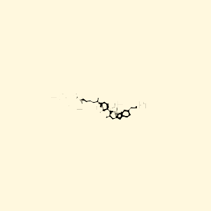 CC(=Cc1cc2ccc(CCC(C)C)cc2o1)C(=O)c1c(O)cc(C(C)CCC=CNC(=O)O)oc1=O